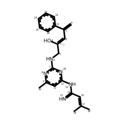 C=C(/C=C(\O)CNc1nc(C)cc(NC(=N)C=C(C)C)n1)c1ccccc1